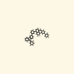 c1ccc(-c2ccc3c(c2)-c2cccc4c(-c5cccc(-c6ccc7c(c6)c6ccccc6n7-c6ccccc6)c5)ccc(c24)S3)cc1